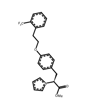 COC(=O)[C@H](Cc1ccc(OCCc2ccccc2C(F)(F)F)cc1)n1cccc1